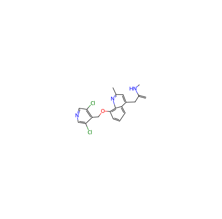 C=C(Cc1cc(C)nc2c(OCc3c(Cl)cncc3Cl)cccc12)NC